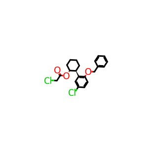 O=C(CCl)O[C@@H]1CCCC[C@H]1c1cc(Cl)ccc1OCc1ccccc1